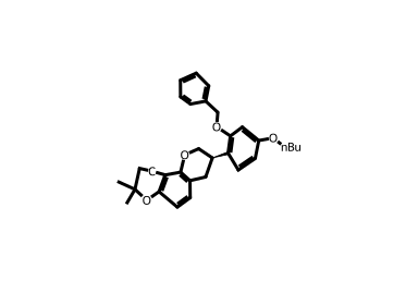 CCCCOc1ccc([C@@H]2COc3c(ccc4c3CCC(C)(C)O4)C2)c(OCc2ccccc2)c1